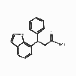 CNC(=O)CC(c1ccccc1)c1cccc2cc[nH]c12